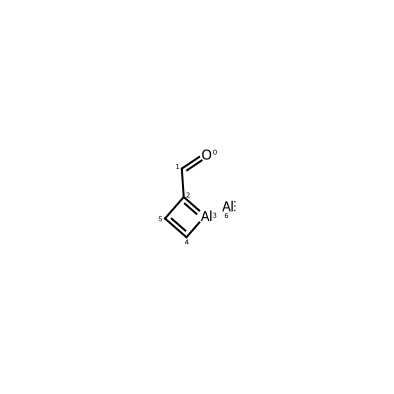 O=C[C]1=[Al][CH]=C1.[Al]